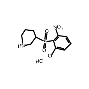 Cl.O=[N+]([O-])c1cccc(Cl)c1S(=O)(=O)C1CCCNC1